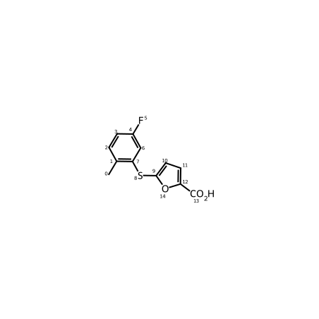 Cc1ccc(F)cc1Sc1ccc(C(=O)O)o1